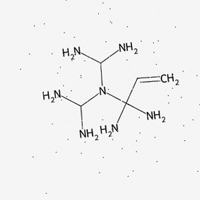 C=CC(N)(N)N(C(N)N)C(N)N